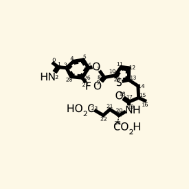 CC(=N)c1ccc(OC(=O)c2ccc(CC(C)C(=O)N[C@@H](CCC(=O)O)C(=O)O)s2)c(F)c1